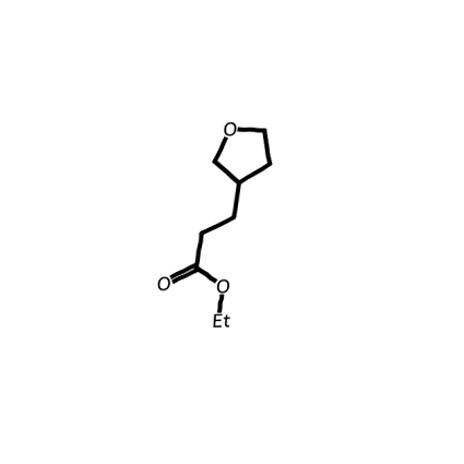 CCOC(=O)CCC1CCOC1